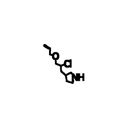 C=CCOCC(Cl)CC1CCNC1